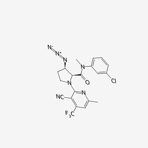 Cc1cc(C(F)(F)F)c(C#N)c(N2CC[C@@H](N=[N+]=[N-])[C@H]2C(=O)N(C)c2cccc(Cl)c2)n1